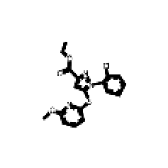 CCOC(=O)c1cc(Sc2cccc(OC)n2)n(-c2ccccc2Cl)n1